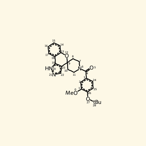 COc1cc(C(=O)N2CCC3(CC2)Oc2ccccc2-c2[nH]ncc23)ccc1OC(C)(C)C